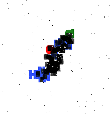 CC1c2cc(-c3nn[nH]n3)ccc2CCN1C(=O)c1cc2ncc(Cl)cn2n1